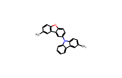 Cc1ccc2oc3ccc(-n4c5ccccc5c5cc(C)ccc54)cc3c2c1